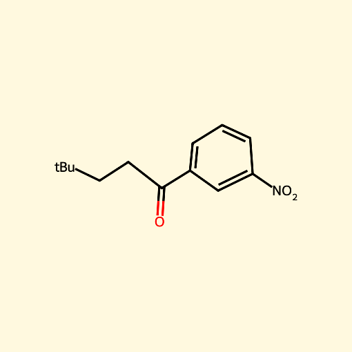 CC(C)(C)CCC(=O)c1cccc([N+](=O)[O-])c1